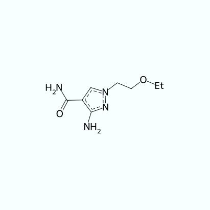 CCOCCn1cc(C(N)=O)c(N)n1